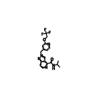 CC(C)NC(=O)c1nccc2nn(Cc3ccnc(OCC(F)(F)F)c3)cc12